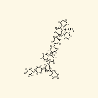 CC1(c2ccccc2)c2ccccc2-c2ccc(-c3ccc(-c4ccc(-c5ccc(-c6cc(-c7ccc(-c8ccccc8)cc7)nc(-c7ccccc7)n6)c6ccccc56)cc4)cc3)cc21